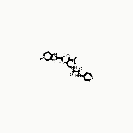 CN1CCc2nc(C(=O)NC(CNC(=O)C(=O)Nc3ccncc3)C(=O)N(C)C)sc2C1